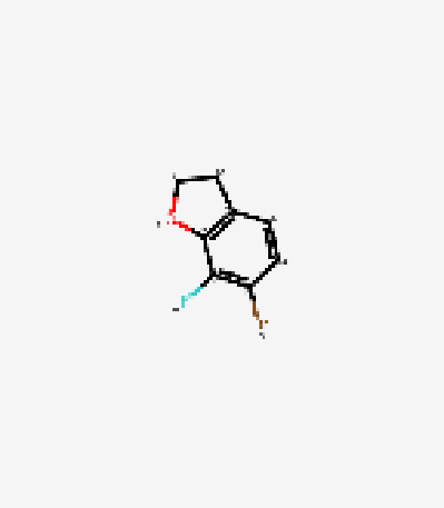 Fc1c(Br)ccc2c1OCC2